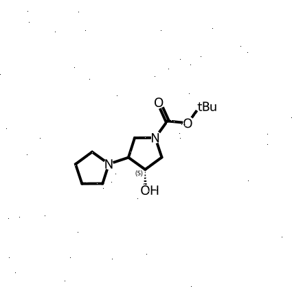 CC(C)(C)OC(=O)N1CC(N2CCCC2)[C@@H](O)C1